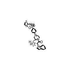 CC1CN(c2ccc(S(=O)(=O)Nc3nccs3)cc2)CCN1C(=O)[C@@H](C)n1ccc2ccccc21